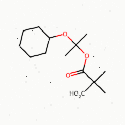 CC(C)(OC(=O)C(C)(C)C(=O)O)OC1CCCCC1